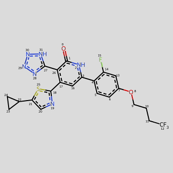 O=c1[nH]c(-c2ccc(OCCCC(F)(F)F)cc2F)cc(-c2ncc(C3CC3)s2)c1-c1nnn[nH]1